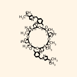 CC(C)C[C@H]1C(=O)O[C@H](Cc2ccc(Cn3cc(N(C)C)cn3)cc2)C(=O)N(C)[C@@H](CC(C)C)C(=O)O[C@H](C)C(=O)N(C)[C@@H](CC(C)C)C(=O)O[C@H](Cc2ccc(Cn3cc(N(C)C)cn3)cc2)C(=O)N(C)[C@@H](CC(C)C)C(=O)O[C@H](C)C(=O)N1C